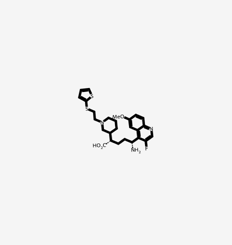 COc1ccc2ncc(F)c([C@H](N)CC[C@H](C(=O)O)C3CCCN(CCSc4cccs4)C3)c2c1